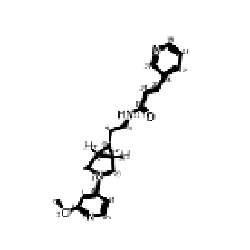 COc1cc(N2C[C@@H]3[C@@H](CCNC(=O)/C=C/c4cccnc4)[C@@H]3C2)ccn1